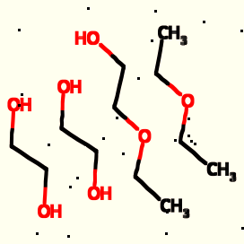 CCOCC.CCOCCO.OCCO.OCCO